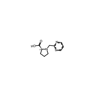 O=C(O)[C@@H]1CCCN1Cc1ncccn1